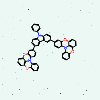 c1ccc(-n2c3ccc(-c4ccc5c(c4)Oc4cccc6c4N5c4ccccc4O6)cc3c3cc(-c4ccc5c(c4)Oc4cccc6c4N5c4ccccc4O6)ccc32)cc1